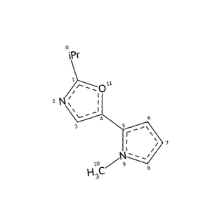 CC(C)c1ncc(-c2cccn2C)o1